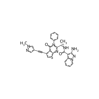 C[C@H](NC(=O)c1c(N)nn2ccccc12)c1nc2scc(C#Cc3cnn(C)c3)c2c(=O)n1-c1ccccc1